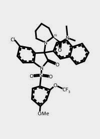 COc1ccc(S(=O)(=O)N2C(=O)C(c3ccc4ccccc4c3)(N3CCCC[C@H]3C(=O)N(C)C)c3cc(Cl)ccc32)c(OC(F)(F)F)c1